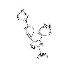 Nc1ncc(-c2ccc(-n3ccnc3)cc2)c(-c2ccncc2)n1